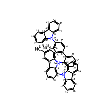 N#Cc1ccc2c(c1)c1cccc(-n3c4ccccc4c4ccccc43)c1n2-c1ccccc1-c1ccc(-n2c3ccccc3c3ccccc32)c(C#N)c1